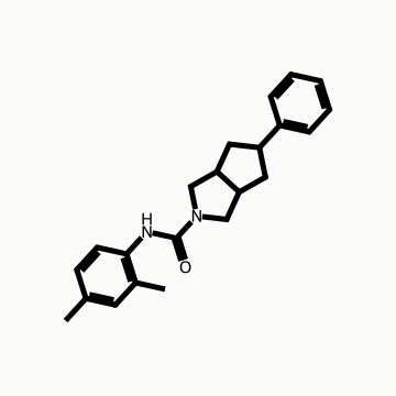 Cc1ccc(NC(=O)N2CC3CC(c4ccccc4)CC3C2)c(C)c1